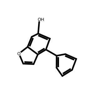 Oc1cc(-c2ccccc2)c2ccoc2c1